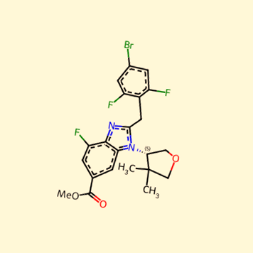 COC(=O)c1cc(F)c2nc(Cc3c(F)cc(Br)cc3F)n([C@@H]3COCC3(C)C)c2c1